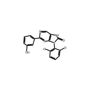 O=c1[nH]c2cnc(-c3cccc(O)c3)nc2n1-c1c(Cl)cccc1Cl